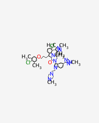 Cc1cc(OCCCc2c3n(c4c(-c5c(C)nn(C)c5C)c(Cl)ccc24)C(C)CN(c2cn(CCN4CCN(C)CC4)c4ccc(-c5ncn(C)n5)cc24)C3=O)cc(C)c1Cl